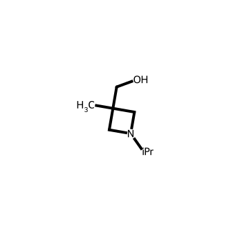 CC(C)N1CC(C)(CO)C1